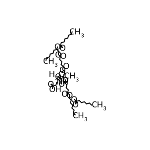 CCCCCCCC(=O)OC(CCCCCC)COC(=O)CCCC(=O)OCC(C)(C)[C@@H](OC(=O)CCCC(=O)OCC(CCCCCC)OC(=O)CCCCCCC)C(=O)NCCC(=O)O